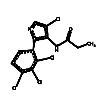 CCC(=O)Nc1c(Cl)cnn1-c1ccc(Cl)c(Cl)c1Cl